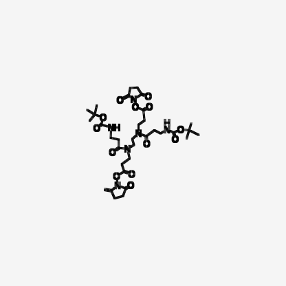 C=C1CCC(=O)N1OC(=O)CCN(CCN(CCC(=O)ON1C(=O)CCC1=O)C(=O)CCNC(=O)OC(C)(C)C)C(=O)CCNC(=O)OC(C)(C)C